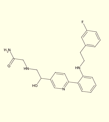 NC(=O)CNCC(O)c1ccc(-c2ccccc2NCCc2cccc(F)c2)nc1